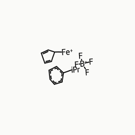 CC(C)c1ccccc1.F[B-](F)(F)F.[Fe+][CH]1C=CC=C1